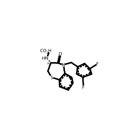 O=C(O)N[C@H]1CSc2ccccc2N(Cc2cc(F)cc(F)c2)C1=O